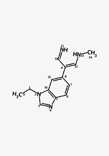 CCn1cnc2ccc(/C(C=N)=C/NC)cc21